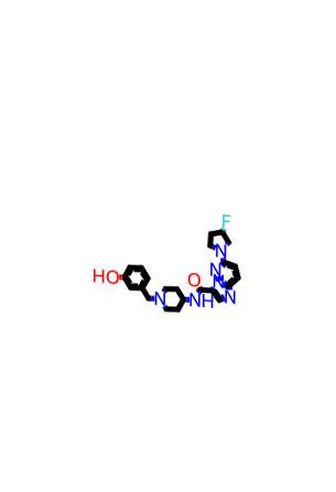 O=C(NC1CCN(Cc2cccc(O)c2)CC1)c1cnc2ccc(N3CCC(F)C3)nn12